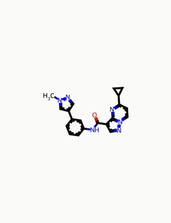 Cn1cc(-c2cccc(NC(=O)c3cnn4ccc(C5CC5)nc34)c2)cn1